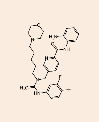 C=C(Nc1ccc(F)c(F)c1)N(CCCCCN1CCOCC1)Cc1ccc(C(=O)Nc2ccccc2N)nc1